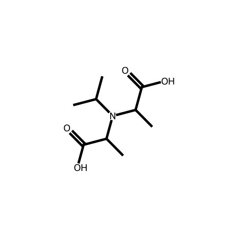 CC(C)N(C(C)C(=O)O)C(C)C(=O)O